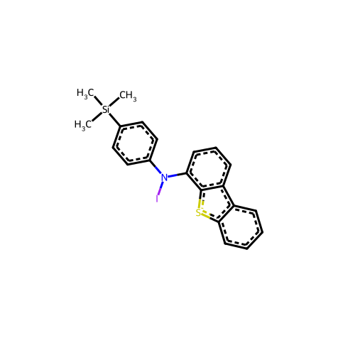 C[Si](C)(C)c1ccc(N(I)c2cccc3c2sc2ccccc23)cc1